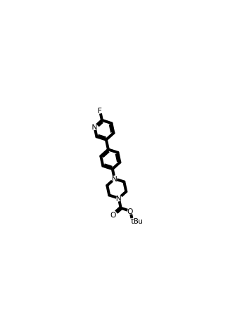 CC(C)(C)OC(=O)N1CCN(c2ccc(-c3ccc(F)nc3)cc2)CC1